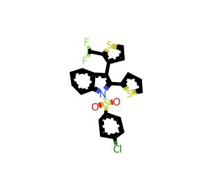 O=S(=O)(c1ccc(Cl)cc1)n1c(-c2cccs2)c(-c2ccsc2C(F)F)c2ccccc21